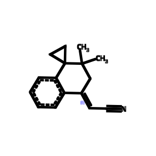 CC1(C)C/C(=C\C#N)c2ccccc2C12CC2